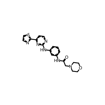 O=C(CN1CCOCC1)Nc1cccc(Nc2nccc(-c3nccs3)n2)c1